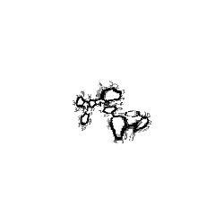 C1=C(c2cccc3c2oc2ccccc23)CCC(n2c3ccccc3c3cc4c5ccccc5n(-c5ccccc5)c4cc32)=C1